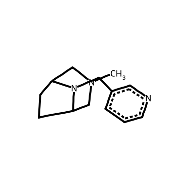 CN1CC2CCC(C1)N2Cc1cccnc1